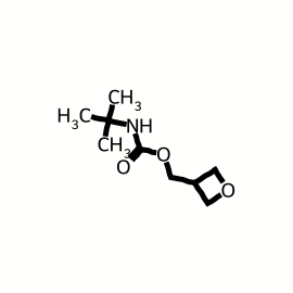 CC(C)(C)NC(=O)OCC1COC1